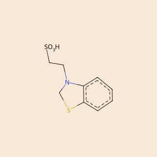 O=S(=O)(O)CCN1CSc2ccccc21